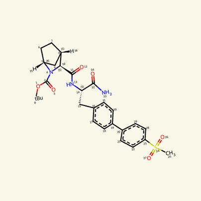 CC(C)(C)OC(=O)N1[C@@H]2CC[C@@H](C2)[C@H]1C(=O)N[C@@H](Cc1ccc(-c2ccc(S(C)(=O)=O)cc2)cc1)C(N)=O